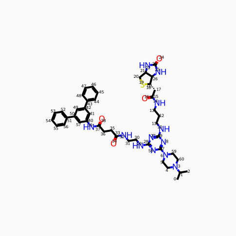 CC(C)N1CCN(c2nc(NCCCNC(=O)C[C@@H]3SCC4NC(=O)NC43)nc(NCCNC(=O)CCC(=O)Nc3cc(-c4ccccc4)cc(-c4ccccc4)c3)n2)CC1